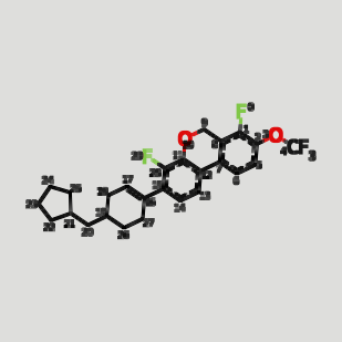 Fc1c(OC(F)(F)F)ccc2c1COc1c-2ccc(C2=CCC(CC3CCCC3)CC2)c1F